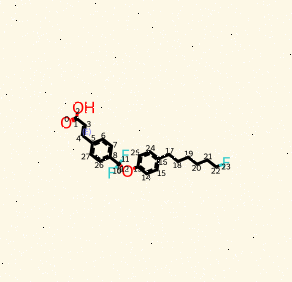 O=C(O)/C=C/c1ccc(C(F)(F)Oc2ccc(CCCCCCF)cc2)cc1